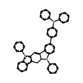 C1=C2c3cc(-c4ccc(N(c5ccccc5)c5ccccc5)cc4)ccc3N(c3ccccc3)C2Cc2c1n(-c1ccccc1)c1ccccc21